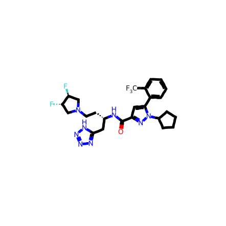 O=C(N[C@@H](CCN1C[C@H](F)[C@@H](F)C1)Cc1nnn[nH]1)c1cc(-c2ccccc2C(F)(F)F)n(C2CCCC2)n1